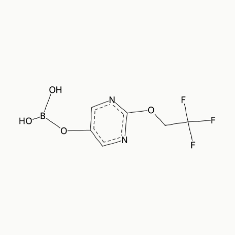 OB(O)Oc1cnc(OCC(F)(F)F)nc1